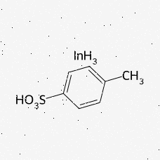 Cc1ccc(S(=O)(=O)O)cc1.[InH3]